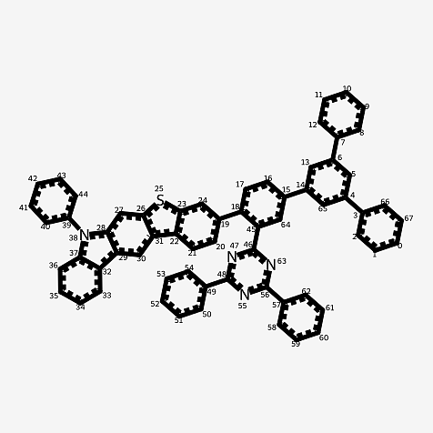 c1ccc(-c2cc(-c3ccccc3)cc(-c3ccc(-c4ccc5c(c4)sc4cc6c(cc45)c4ccccc4n6-c4ccccc4)c(-c4nc(-c5ccccc5)nc(-c5ccccc5)n4)c3)c2)cc1